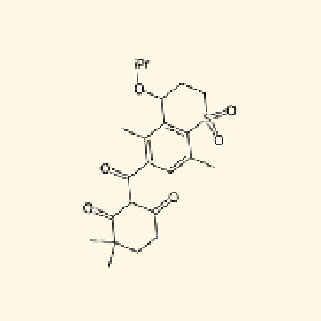 Cc1cc(C(=O)C2C(=O)CCC(C)(C)C2=O)c(C)c2c1S(=O)(=O)CCC2OC(C)C